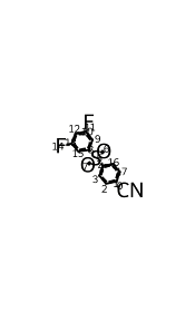 N#Cc1ccc(S(=O)(=O)c2cc(F)cc(F)c2)cc1